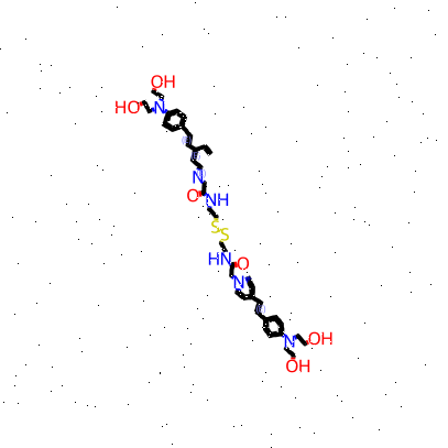 C=CC(/C=C/c1ccc(N(CCO)CCO)cc1)=C\C=N\CC(=O)NCCSSCCNC(=O)C[n+]1ccc(/C=C/c2ccc(N(CCO)CCO)cc2)cc1